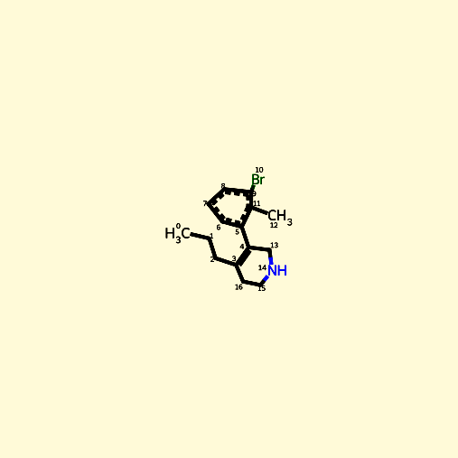 CCCC1=C(c2cccc(Br)c2C)CNCC1